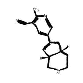 Cc1ncc(C2=C[C@H]3CNCC[C@H]3C2)cc1C#N